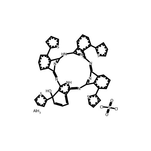 O=S(=O)(Cl)Cl.OC1(c2cccs2)C=CC=c2c1c1[nH]\c2=N/C2=N\C(=N/c3[nH]c(c4cccc(-c5cccs5)c34)NC3=N/C(=N\1)c1cccc(-c4cccs4)c13)c1cccc(-c3cccs3)c12.[AlH3]